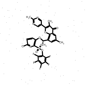 Cc1cc([C@@H](C)Oc2ccc(Cl)nc2S(=O)(=O)Oc2c(F)c(F)c(F)c(F)c2F)c2oc(-c3cnc(C)nc3)c(C)c(=O)c2c1